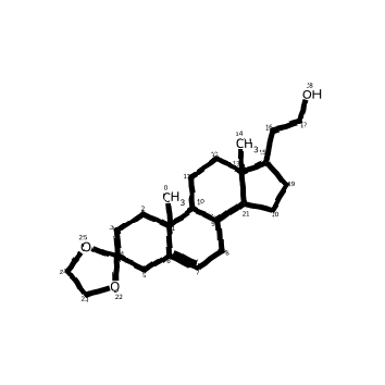 CC12CCC3(CC1=CCC1C2CCC2(C)C(CCO)CCC12)OCCO3